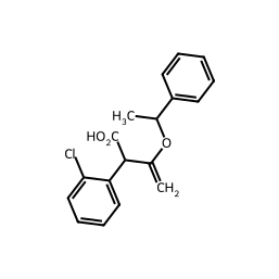 C=C(OC(C)c1ccccc1)C(C(=O)O)c1ccccc1Cl